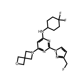 FCc1ccn(-c2nc(NC3CCC(F)(F)CC3)cc(N3CC4(COC4)C3)n2)n1